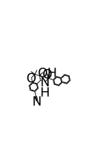 CC1(C)Oc2ccc(C#N)cc2C(NC(=O)c2ccc3ccccc3c2)C1O